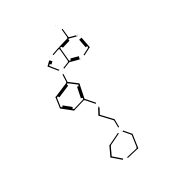 N#Cc1ncnc2c1ncn2-c1cccc(OCCN2CCSCC2)c1